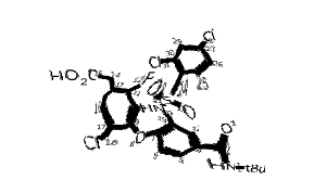 CC(C)(C)NC(=O)c1ccc(Oc2cc(F)c(CC(=O)O)cc2Cl)c(NS(=O)(=O)c2ccc(Cl)cc2Cl)c1